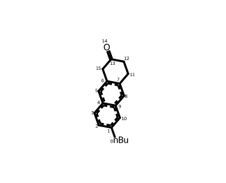 CCCCc1ccc2cc3c(cc2c1)CCC(=O)C3